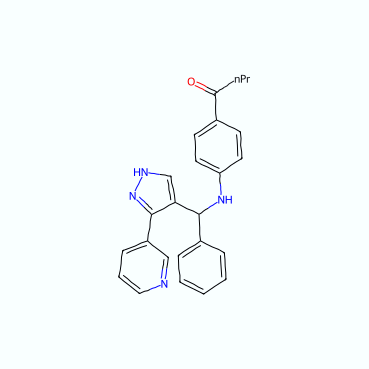 CCCC(=O)c1ccc(NC(c2ccccc2)c2c[nH]nc2-c2cccnc2)cc1